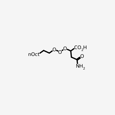 CCCCCCCCCCOOOC(CC(N)=O)C(=O)O